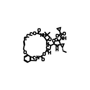 CC[C@H]1C[C@@]1(NC(=O)C1C[C@@H]2CN1C(=O)[C@H](C(C)(C)C)NC(=O)OCCC/C=C/COc1cccc3c1CN(C3)C(=O)O2)C(=O)NS(=O)(=O)C1CC1